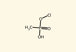 CP(=O)(O)OCl